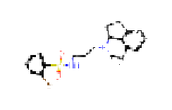 O=S(=O)(NCCCN1CCc2cccc3c2C1CC3)c1ccccc1Br